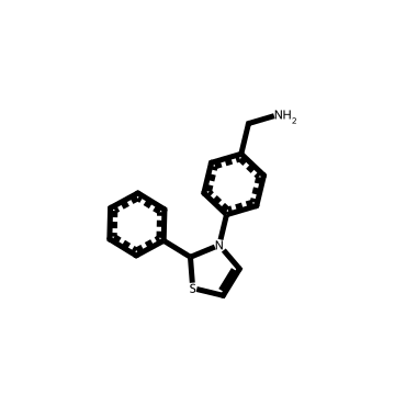 NCc1ccc(N2C=CSC2c2ccccc2)cc1